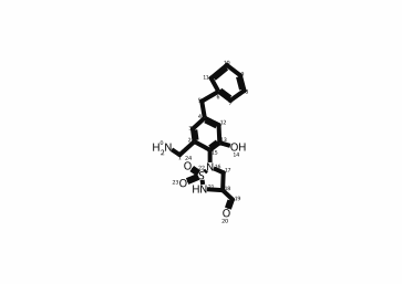 NCc1cc(Cc2ccccc2)cc(O)c1N1CC(C=O)NS1(=O)=O